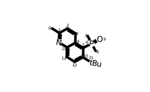 Cc1ccc2c(P(C)(C)=O)c(C(C)(C)C)ccc2n1